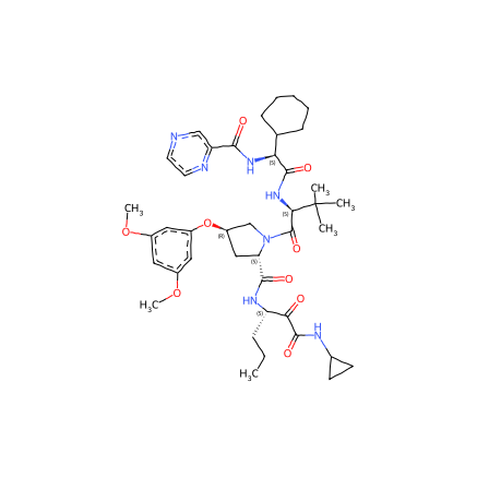 CCC[C@H](NC(=O)[C@@H]1C[C@@H](Oc2cc(OC)cc(OC)c2)CN1C(=O)[C@@H](NC(=O)[C@@H](NC(=O)c1cnccn1)C1CCCCC1)C(C)(C)C)C(=O)C(=O)NC1CC1